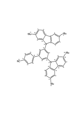 CC(C)(C)c1ccc2c(c1)c1ccc(C(C)(C)C)cc1n2-c1cc(-c2ccc(C#N)cc2)cc(-n2c3ccc(C(C)(C)C)cc3c3ccc(C(C)(C)C)cc32)c1